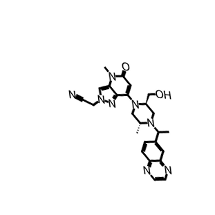 CC(c1ccc2nccnc2c1)N1C[C@H](CO)N(c2cc(=O)n(C)c3cn(CC#N)nc23)C[C@H]1C